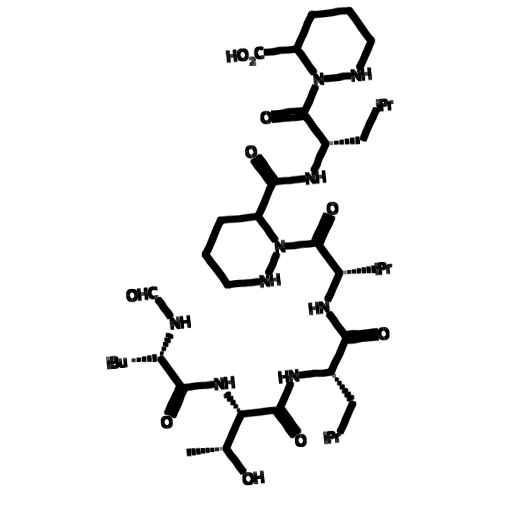 CC[C@@H](C)[C@H](NC=O)C(=O)N[C@H](C(=O)N[C@@H](CC(C)C)C(=O)N[C@H](C(=O)N1NCCCC1C(=O)N[C@@H](CC(C)C)C(=O)N1NCCCC1C(=O)O)C(C)C)[C@@H](C)O